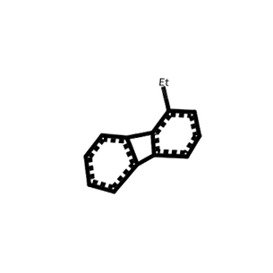 CCc1cccc2c1-c1ccccc1-2